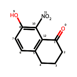 O=C1CCCc2ccc(O)c([N+](=O)[O-])c21